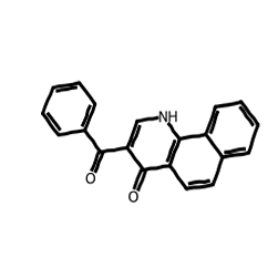 O=C(c1ccccc1)c1c[nH]c2c(ccc3ccccc32)c1=O